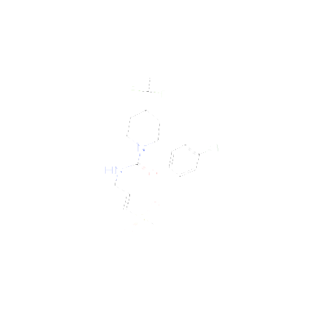 C[C@@H](/C=C/S(C)(=O)=O)NC(=O)N1CC[C@H](C(C)(F)F)C[C@@H]1c1cccc(Cl)c1